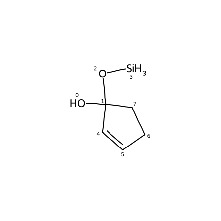 OC1(O[SiH3])C=CCC1